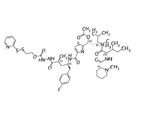 CCC(C)[C@H](NC(=O)[C@H]1CCCCN1C)C(=O)N(C)[C@H](C[C@@H](OC(C)=O)c1nc(C(=O)N[C@@H](Cc2ccc(F)cc2)C[C@H](C)C(=O)NNC(=O)OCCSSc2ccccn2)cs1)C(C)C